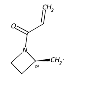 [CH2][C@H]1CCN1C(=O)C=C